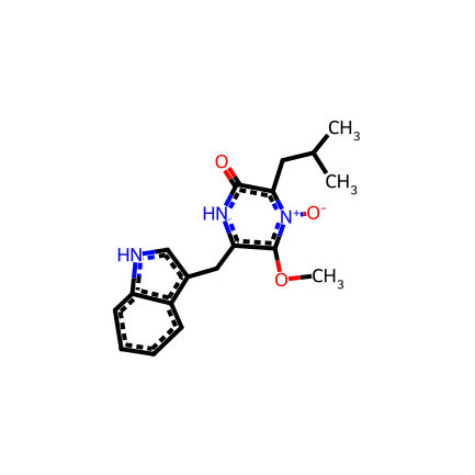 COc1c(Cc2c[nH]c3ccccc23)[nH]c(=O)c(CC(C)C)[n+]1[O-]